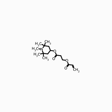 C=CC(=O)OCCC(=O)OC1CC(C)(C)N(C)C(C)(C)C1